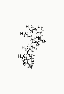 CCCC[C@H]1CN(CC2CCCN(C(C)=O)C2)C(=O)OC12CCN(C1(C)CCN(C(=O)c3c(C)noc3C(F)(F)F)CC1)CC2